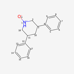 [O-][NH+]1CC(c2ccccc2)CC(c2ccccc2)C1